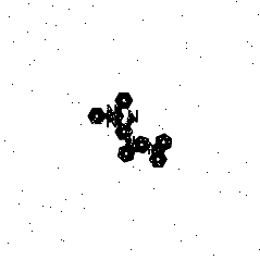 N#Cc1cc(-n2c3ccccc3c3cc(-n4c5ccccc5c5ccccc54)ccc32)ccc1-c1cc(-c2ccccc2)nc(-c2ccccc2)n1